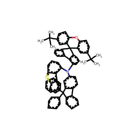 CC(C)(C)c1ccc2c(c1)C1(c3cc(C(C)(C)C)ccc3O2)c2ccccc2-c2c(N(c3ccc4c(c3)C(c3ccccc3)(c3ccccc3)c3ccccc3-4)c3cccc4sc5ccccc5c34)cccc21